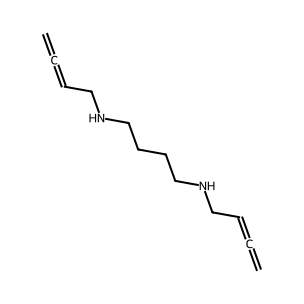 C=C=CCNCCCCNCC=C=C